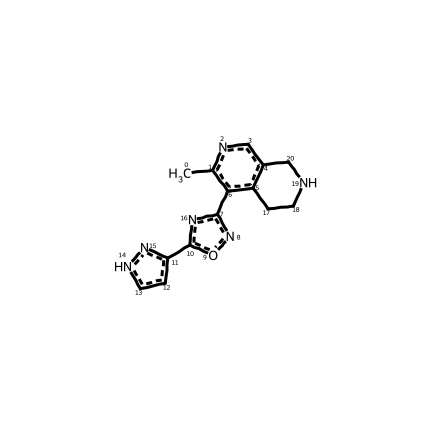 Cc1ncc2c(c1-c1noc(-c3cc[nH]n3)n1)CCNC2